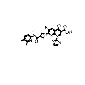 Cc1ccc(NC(=O)C2CN(c3nc4c(cc3F)c(=O)c(C(=O)O)cn4-c3nccs3)C2)nc1C